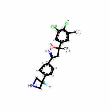 FC(F)(F)c1cc(C2(C(F)(F)F)CC(c3ccc(C4(F)CNC4)cc3)=NO2)cc(Cl)c1Cl